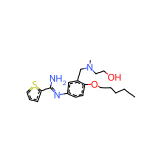 CCCCCOc1ccc(N=C(N)c2cccs2)cc1CN(C)CCO